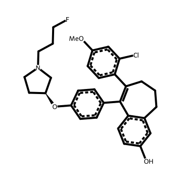 COc1ccc(C2=C(c3ccc(O[C@H]4CCN(CCCF)C4)cc3)c3ccc(O)cc3CCC2)c(Cl)c1